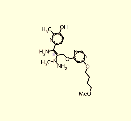 COCCCCOc1cc(OC/C(=C(/N)c2ccc(O)c(C)n2)N(C)N)ncn1